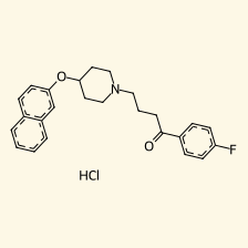 Cl.O=C(CCCN1CCC(Oc2ccc3ccccc3c2)CC1)c1ccc(F)cc1